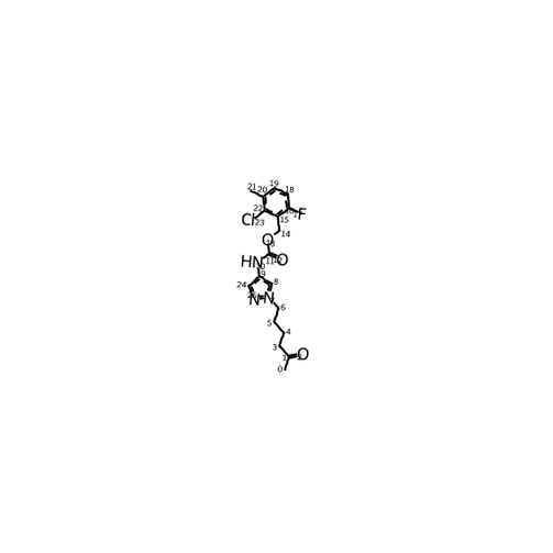 CC(=O)CCCCn1cc(NC(=O)OCc2c(F)ccc(C)c2Cl)cn1